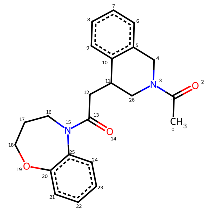 CC(=O)N1Cc2ccccc2C(CC(=O)N2CCCOc3ccccc32)C1